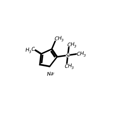 CC1=CCC([Si](C)(C)C)=C1C.[Na]